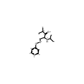 CC(C)NC(CSSc1ccncc1)C(=O)C(C)C